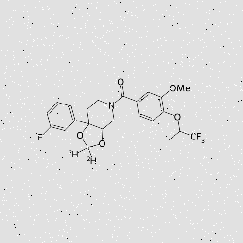 [2H]C1([2H])OC2CN(C(=O)c3ccc(OC(C)C(F)(F)F)c(OC)c3)CCC2(c2cccc(F)c2)O1